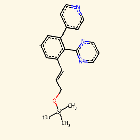 CC(C)(C)[Si](C)(C)OC/C=C/c1c[c]cc(-c2ccncc2)c1-c1ncccn1